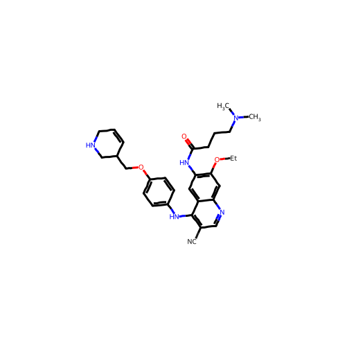 CCOc1cc2ncc(C#N)c(Nc3ccc(OCC4C=CCNC4)cc3)c2cc1NC(=O)CCCN(C)C